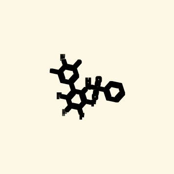 Cc1cc(-c2c(F)c(F)c(F)c(F)c2NS(=O)(=O)c2ccccc2)cc(C)c1F